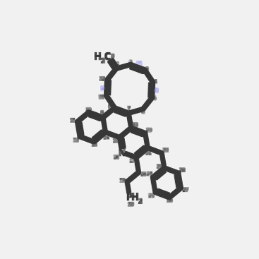 C=C1/C=C\C=C/Cc2c(c3ccccc3c3nc(CCP)c(Cc4ccccc4)cc23)/C=C\1